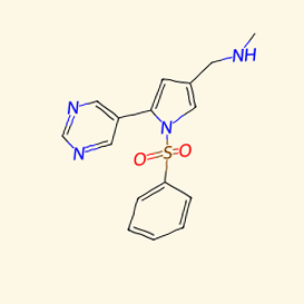 CNCc1cc(-c2cncnc2)n(S(=O)(=O)c2ccccc2)c1